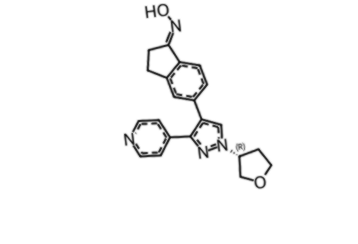 ON=C1CCc2cc(-c3cn([C@@H]4CCOC4)nc3-c3ccncc3)ccc21